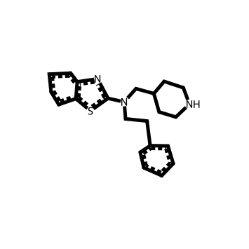 c1ccc(CCN(CC2CCNCC2)c2nc3ccccc3s2)cc1